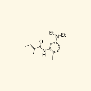 C/C=C(\C)C(=O)Nc1cc(N(CC)CC)ccc1I